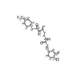 C=C(CCNC(=O)COc1ccc(Cl)c(F)c1)NC(=O)Cc1ccc(C(F)(F)F)cc1